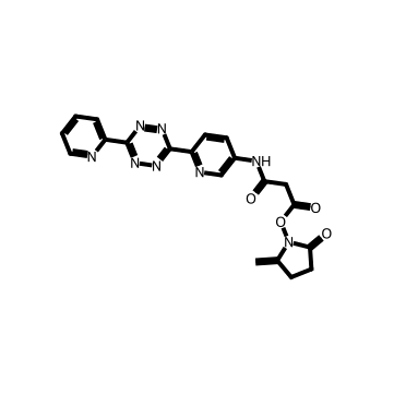 C=C1CCC(=O)N1OC(=O)CC(=O)Nc1ccc(-c2nnc(-c3ccccn3)nn2)nc1